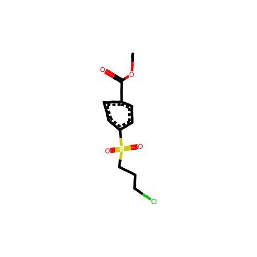 COC(=O)c1ccc(S(=O)(=O)CCCCl)cc1